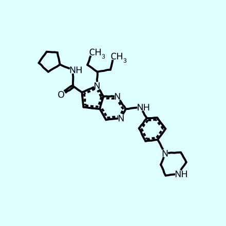 CCC(CC)n1c(C(=O)NC2CCCC2)cc2cnc(Nc3ccc(N4CCNCC4)cc3)nc21